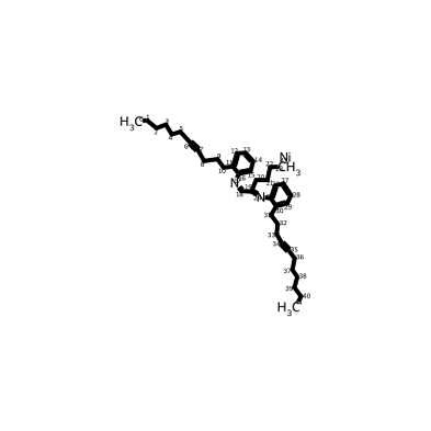 CCCCCCC#CCCCc1ccccc1/N=C\C(CCCC)=N\c1ccccc1CCCC#CCCCCCC.[Ni]